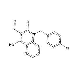 O=Cc1c(O)c2ncccc2n(Cc2ccc(Cl)cc2)c1=O